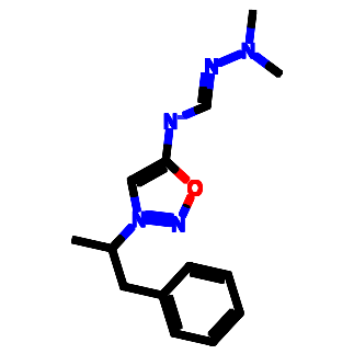 CC(Cc1ccccc1)[n+]1cc([N-]C=NN(C)C)on1